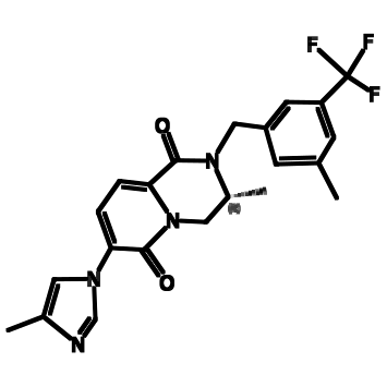 Cc1cc(CN2C(=O)c3ccc(-n4cnc(C)c4)c(=O)n3C[C@H]2C)cc(C(F)(F)F)c1